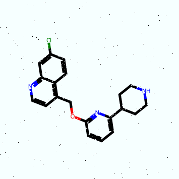 Clc1ccc2c(COc3cccc(C4CCNCC4)n3)ccnc2c1